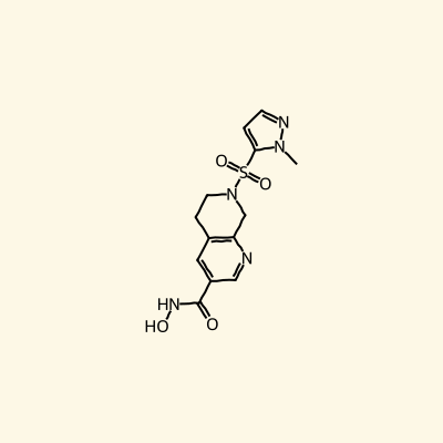 Cn1nccc1S(=O)(=O)N1CCc2cc(C(=O)NO)cnc2C1